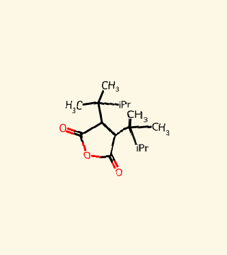 CC(C)C(C)(C)C1C(=O)OC(=O)C1C(C)(C)C(C)C